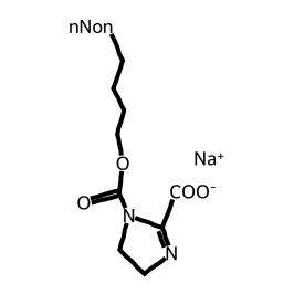 CCCCCCCCCCCCCOC(=O)N1CCN=C1C(=O)[O-].[Na+]